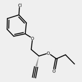 C#C[C@H](COc1cccc(Cl)c1)OC(=O)CC